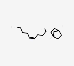 O=C(O)C(CC/C=C\CCCO)[C@@H]1C[C@H]2CC[C@H]1C2